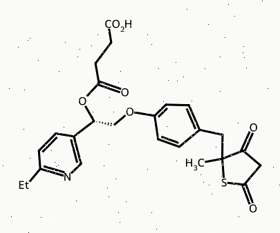 CCc1ccc([C@@H](COc2ccc(CC3(C)SC(=O)CC3=O)cc2)OC(=O)CCC(=O)O)cn1